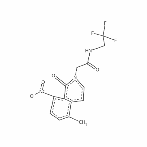 Cc1ccc([N+](=O)[O-])c2c(=O)n(CC(=O)NCC(F)(F)F)ccc12